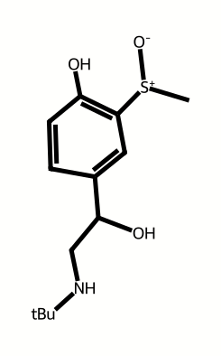 C[S+]([O-])c1cc(C(O)CNC(C)(C)C)ccc1O